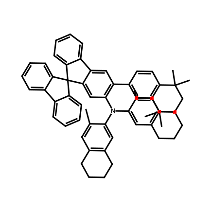 Cc1cc2c(cc1N(c1cc3c(cc1C)CCCC3)c1cc3c(cc1-c1ccc4c(c1)C(C)(C)CCC4(C)C)-c1ccccc1C31c3ccccc3-c3ccccc31)CCCC2